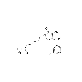 Cc1cc(C)cc(-c2cccc3c2CN(CCCCCC(=O)NO)C3=O)c1